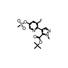 Cn1ncc(-c2ncc(OS(C)(=O)=O)cc2F)c1C(=O)OC(C)(C)C